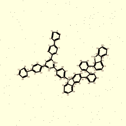 c1ccc(-c2ccc(-c3cc(-c4ccc(-c5ccccc5)cc4)nc(-c4ccc(-n5c6ccccc6c6cc(-c7ccccc7-c7ccccc7-c7cccc8c7sc7ccccc78)ccc65)cc4)n3)cc2)cc1